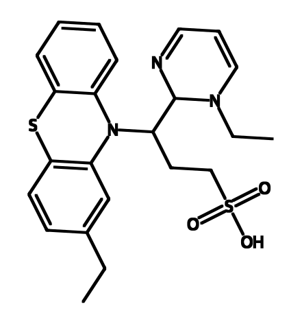 CCc1ccc2c(c1)N(C(CCS(=O)(=O)O)C1N=CC=CN1CC)c1ccccc1S2